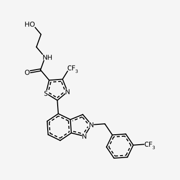 O=C(NCCO)c1sc(-c2cccc3nn(Cc4cccc(C(F)(F)F)c4)cc23)nc1C(F)(F)F